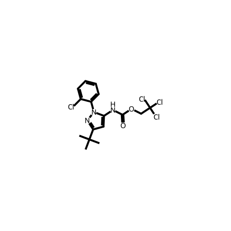 CC(C)(C)c1cc(NC(=O)OCC(Cl)(Cl)Cl)n(-c2ccccc2Cl)n1